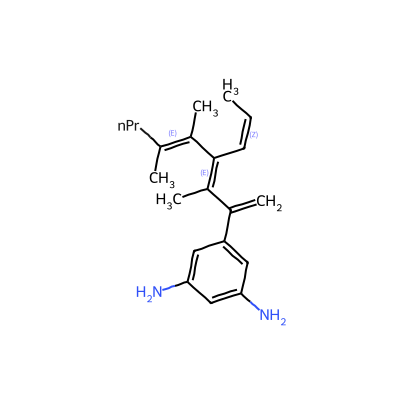 C=C(/C(C)=C(\C=C/C)C(/C)=C(\C)CCC)c1cc(N)cc(N)c1